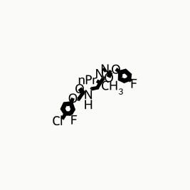 CCCC(C)(CCNC(=O)COc1ccc(Cl)c(F)c1)c1nnc(Oc2ccc(F)cc2)o1